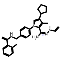 C=CN/N=C(/N)c1c(C)c(C2CCCC2)cn1-c1ccc(CNC(=C)c2ccccc2C)cc1